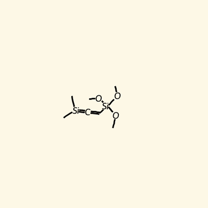 CO[Si](C=C=[Si](C)C)(OC)OC